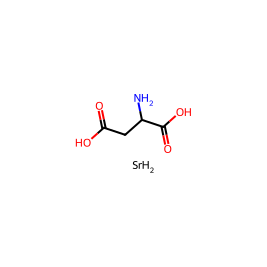 NC(CC(=O)O)C(=O)O.[SrH2]